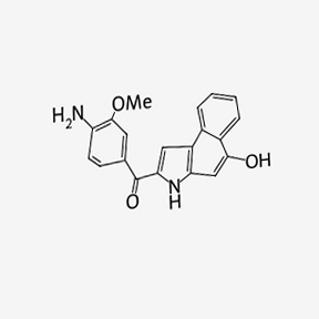 COc1cc(C(=O)c2cc3c(cc(O)c4ccccc43)[nH]2)ccc1N